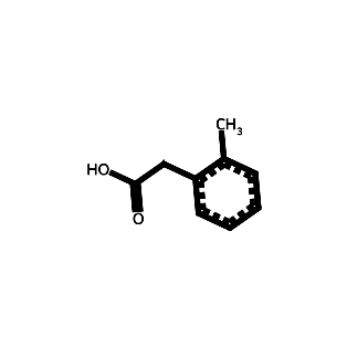 Cc1ccccc1[CH]C(=O)O